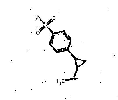 CNC1CC1c1ccc(S(N)(=O)=O)cc1